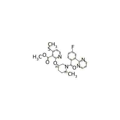 COC(=O)c1c(SC)ccnc1O[C@@H]1CC[C@@H](C)N(C(=O)c2ccc(F)cc2-c2ncccn2)C1